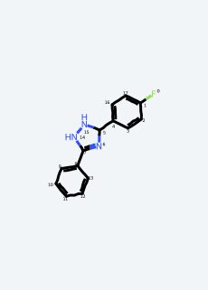 Fc1ccc(C2N=C(c3ccccc3)NN2)cc1